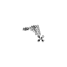 O.O.O.O.O.O.O.O.O.O.O=[Se](=O)([O-])[O-].[Na+].[Na+]